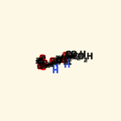 CCOP(=O)(Cc1ccc(NC(=O)CCCC(=O)ON2C(=O)CCC2=O)cc1)N[C@@H](CCC(=O)O)C(=O)O